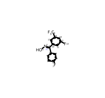 O/N=C(\c1ccc(F)cc1)c1cc(F)cc(C(F)(F)F)c1